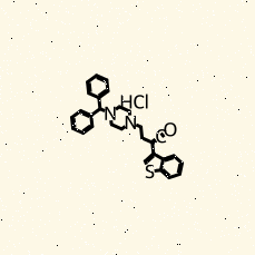 Cl.O=C=C(CCN1CCN(C(c2ccccc2)c2ccccc2)CC1)c1csc2ccccc12